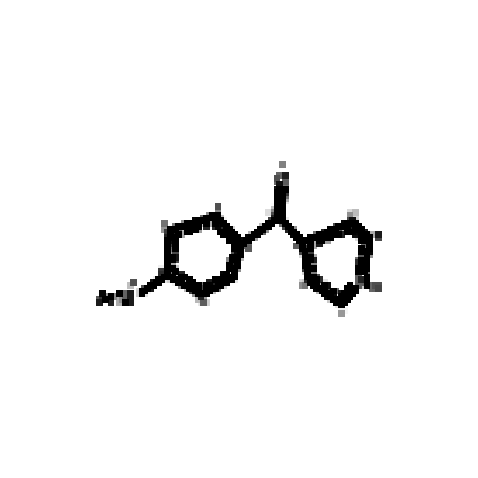 CC(=O)Nc1ccc(C(=O)c2ccncc2)cc1